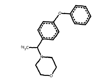 [CH2]C(c1ccc(Oc2ccccc2)cc1)N1CCOCC1